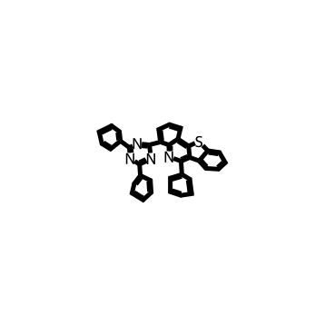 c1ccc(-c2nc(-c3ccccc3)nc(-c3cccc4c3nc(-c3ccccc3)c3c5ccccc5sc43)n2)cc1